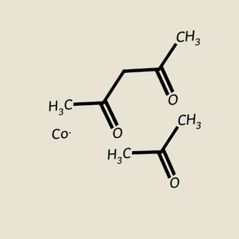 CC(=O)CC(C)=O.CC(C)=O.[Co]